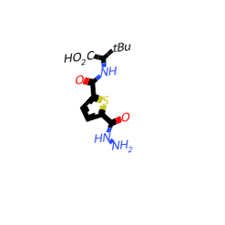 CC(C)(C)C(NC(=O)c1ccc(C(=O)NN)s1)C(=O)O